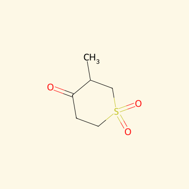 CC1CS(=O)(=O)CCC1=O